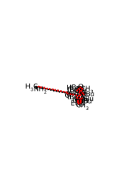 CCCC(N(CC(CCCCCCNC(=O)CCCCCCCCCCCCCCCCCCCCCC(C)N)CN(C(=O)OC(C)(C)C)C(CCC)N(C(=O)OC(C)(C)C)C(CC)N(C)C(=O)OC(C)(C)C)C(=O)OC(C)(C)C)N(C(=O)OC(C)(C)C)C(CC)N(C)C(=O)OC(C)(C)C